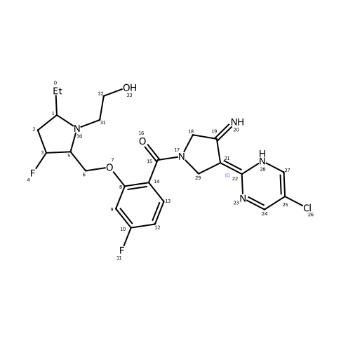 CCC1CC(F)C(COc2cc(F)ccc2C(=O)N2CC(=N)/C(=C3/N=CC(Cl)=CN3)C2)N1CCO